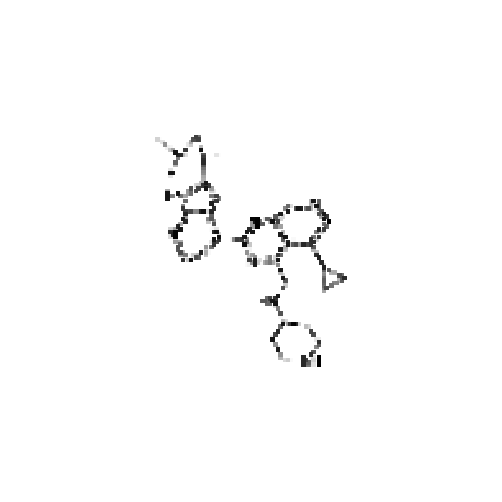 CC1(c2cc3c(-c4nc(CNC5CCNCC5)c5c(C6CC6)cncc5n4)ccnc3[nH]2)CC1(F)F